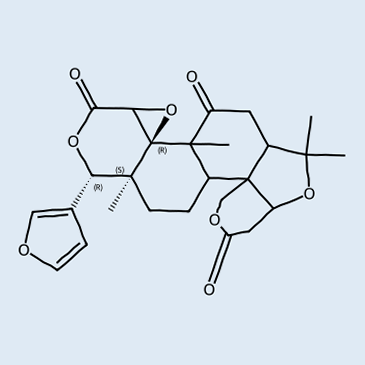 CC1(C)OC2CC(=O)OCC23C1CC(=O)C1(C)C3CC[C@@]2(C)[C@H](c3ccoc3)OC(=O)C3O[C@@]312